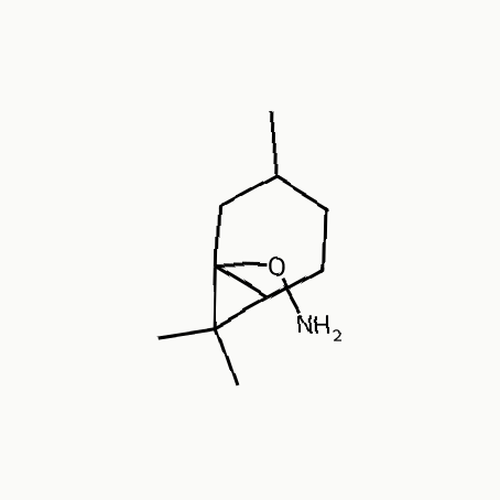 CC1CCC2C(C)(C)C2(ON)C1